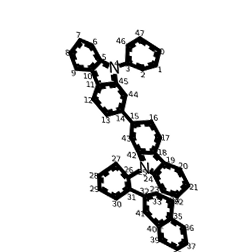 c1ccc(-n2c3ccccc3c3ccc(-c4ccc5c6ccccc6n(-c6ccccc6-c6ccc7ccccc7c6)c5c4)cc32)cc1